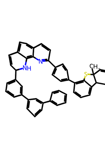 CC12C=CC=CC1c1cccc(-c3ccc(-c4ccc5ccc6c(c5n4)NC(c4cccc(-c5cccc(-c7ccccc7)c5)c4)C=C6)cc3)c1S2